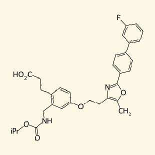 Cc1oc(-c2ccc(-c3cccc(F)c3)cc2)nc1CCOc1ccc(CCC(=O)O)c(CNC(=O)OC(C)C)c1